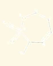 CC1C=CCCOS1(=O)=O